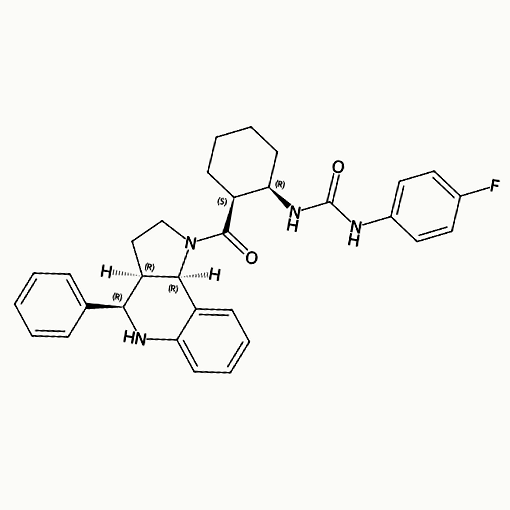 O=C(Nc1ccc(F)cc1)N[C@@H]1CCCC[C@@H]1C(=O)N1CC[C@@H]2[C@H](c3ccccc3)Nc3ccccc3[C@@H]21